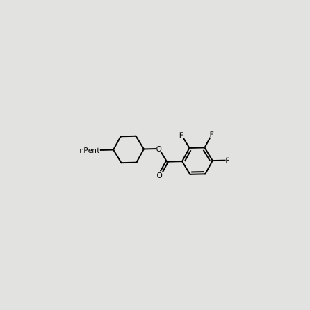 CCCCCC1CCC(OC(=O)c2ccc(F)c(F)c2F)CC1